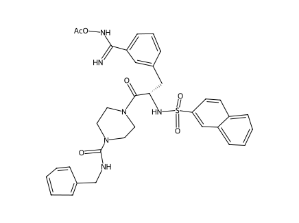 CC(=O)ONC(=N)c1cccc(C[C@H](NS(=O)(=O)c2ccc3ccccc3c2)C(=O)N2CCN(C(=O)NCc3ccccc3)CC2)c1